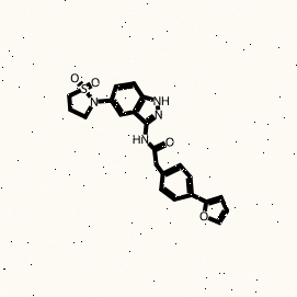 O=C(Cc1ccc(-c2ccco2)cc1)Nc1n[nH]c2ccc(N3CCCS3(=O)=O)cc12